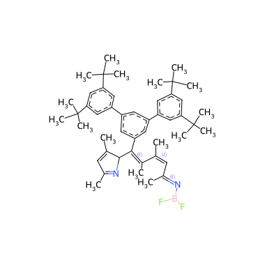 CC1=CC(C)=NC1/C(=C(C)/C(C)=C\C(C)=N\B(F)F)c1cc(-c2cc(C(C)(C)C)cc(C(C)(C)C)c2)cc(-c2cc(C(C)(C)C)cc(C(C)(C)C)c2)c1